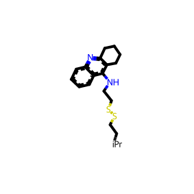 CC(C)CCSSCCNc1c2c(nc3ccccc13)CCCC2